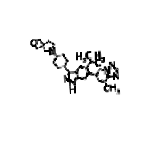 Cc1cc(-c2cc3[nH]nc(C4CCC(N5CCC6(COC6)C5)CC4)c3cc2C(C)C)cn2ncnc12